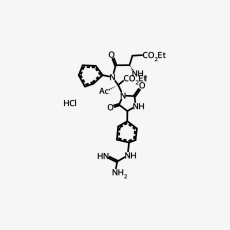 CCOC(=O)C[C@H](N)C(=O)N(c1ccccc1)[C@@](C(C)=O)(C(=O)OCC)N1C(=O)NC(c2ccc(NC(=N)N)cc2)C1=O.Cl